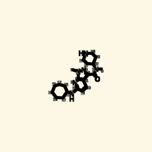 CN(C(=O)c1nn(C)c2nc(NC3CCCCCC3)ccc12)C1CCNCC1